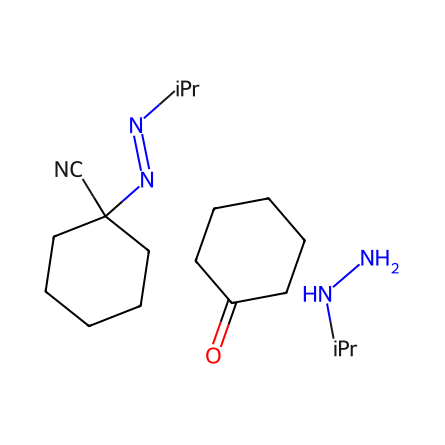 CC(C)/N=N/C1(C#N)CCCCC1.CC(C)NN.O=C1CCCCC1